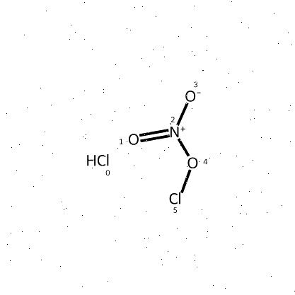 Cl.O=[N+]([O-])OCl